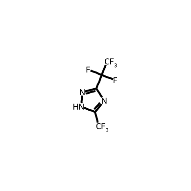 FC(F)(F)c1nc(C(F)(F)C(F)(F)F)n[nH]1